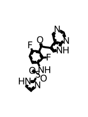 O=C(c1c(F)ccc(NS(=O)(=O)c2ncc[nH]2)c1F)c1c[nH]c2ncncc12